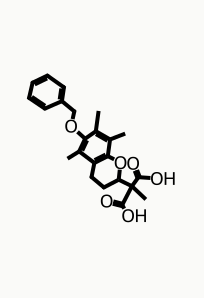 Cc1c(C)c2c(c(C)c1OCc1ccccc1)CCC(C(C)(C(=O)O)C(=O)O)O2